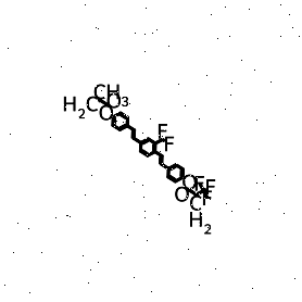 C=C(C)C(=O)Oc1ccc(/C=C/c2ccc(/C=C/c3ccc(OC(=O)C(=C)C(F)(F)F)cc3)c(C(F)F)c2)cc1